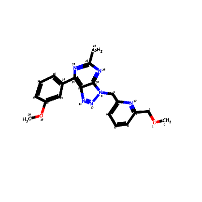 COCc1cccc(Cn2nnc3c(-c4cccc(OC)c4)nc([AsH2])nc32)n1